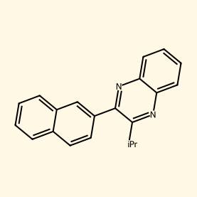 CC(C)c1nc2ccccc2nc1-c1ccc2ccccc2c1